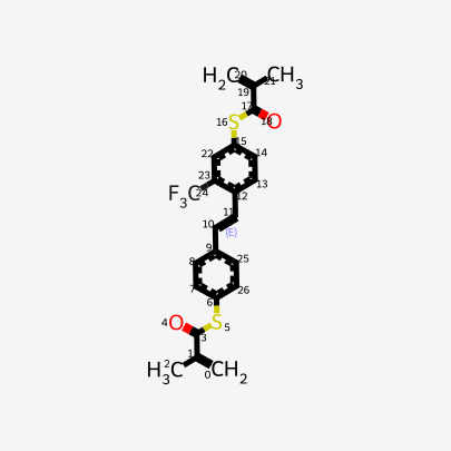 C=C(C)C(=O)Sc1ccc(/C=C/c2ccc(SC(=O)C(=C)C)cc2C(F)(F)F)cc1